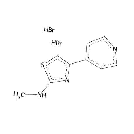 Br.Br.CNc1nc(-c2ccncc2)cs1